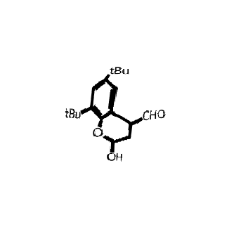 CC(C)(C)c1cc2c(c(C(C)(C)C)c1)OC(O)CC2C=O